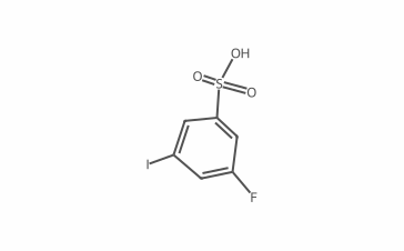 O=S(=O)(O)c1cc(F)cc(I)c1